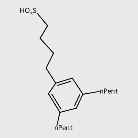 CCCCCc1cc(CCCCC)cc(CCCCS(=O)(=O)O)c1